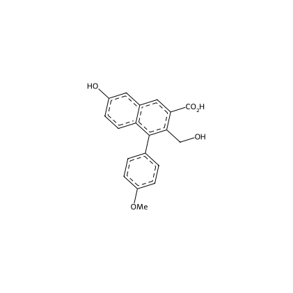 COc1ccc(-c2c(CO)c(C(=O)O)cc3cc(O)ccc23)cc1